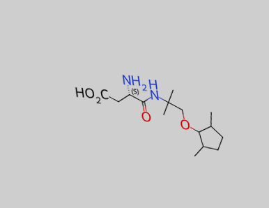 CC1CCC(C)C1OCC(C)(C)NC(=O)[C@@H](N)CC(=O)O